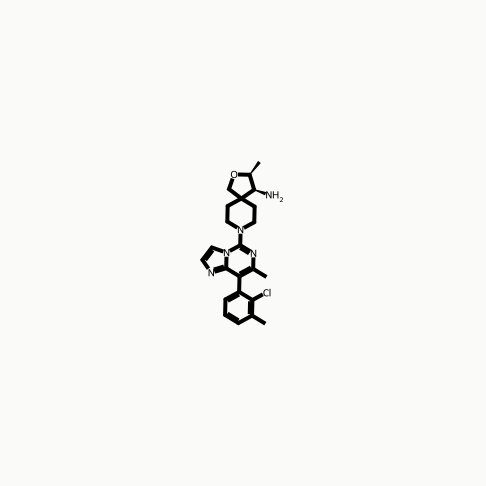 Cc1cccc(-c2c(C)nc(N3CCC4(CC3)CO[C@@H](C)[C@H]4N)n3ccnc23)c1Cl